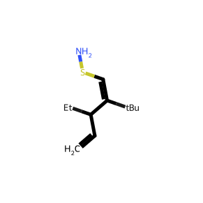 C=CC(CC)/C(=C\SN)C(C)(C)C